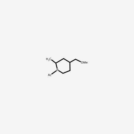 COCC1CCN(C(C)=O)C(C)C1